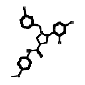 CSc1ccc(NC(=O)C2CN(Cc3cccc(F)c3)N(c3ccc(Cl)cc3Cl)C2)cc1